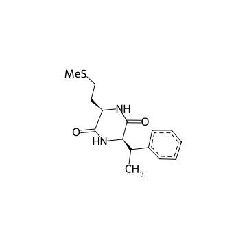 CSCC[C@H]1NC(=O)[C@@H](C(C)c2ccccc2)NC1=O